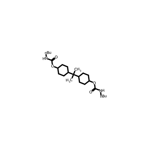 CCCCNC(=O)OC1CCC(C(C)(C)C2CCC(OC(=O)NCCCC)CC2)CC1